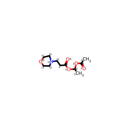 CC(=O)OC(C)OC(=O)CCN1CCOCC1